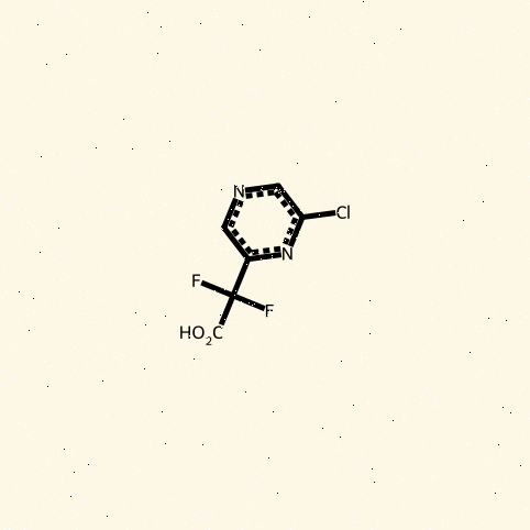 O=C(O)C(F)(F)c1cncc(Cl)n1